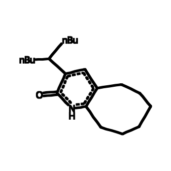 CCCCC(CCCC)c1cc2c([nH]c1=O)CCCCCC2